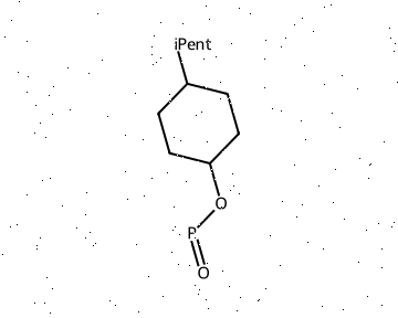 CCCC(C)C1CCC(OP=O)CC1